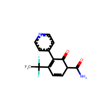 NC(=O)C1C=CC(C(F)(F)C(F)(F)F)=C(c2ccncc2)C1=O